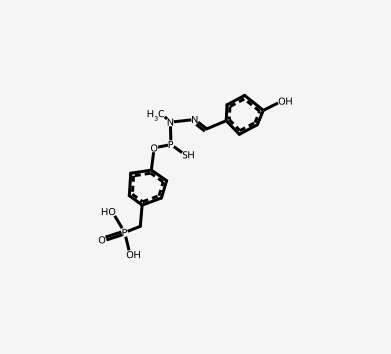 CN(/N=C/c1ccc(O)cc1)P(S)Oc1ccc(CP(=O)(O)O)cc1